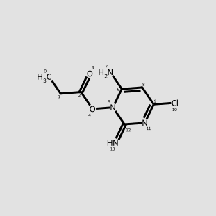 CCC(=O)On1c(N)cc(Cl)nc1=N